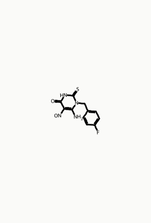 Nc1c(N=O)c(=O)[nH]c(=S)n1Cc1ccc(F)cc1